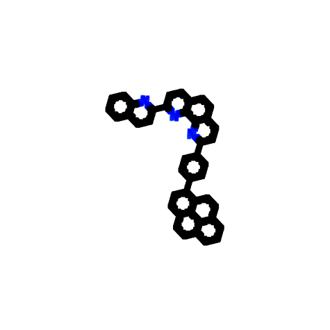 c1ccc2nc(-c3ccc4ccc5ccc(-c6ccc(-c7ccc8ccc9cccc%10ccc7c8c9%10)cc6)nc5c4n3)ccc2c1